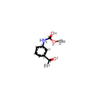 CCC(=O)c1cccc(NC(=O)OC(C)(C)C)c1